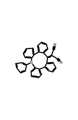 N#CC(C#N)=C1c2ccccc2-c2ccccc2N(c2ccccc2)c2ccccc2-c2ccccc21